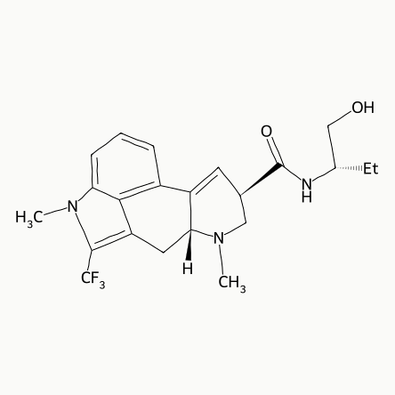 CC[C@@H](CO)NC(=O)[C@@H]1C=C2c3cccc4c3c(c(C(F)(F)F)n4C)C[C@H]2N(C)C1